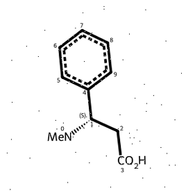 CN[C@@H](CC(=O)O)c1ccccc1